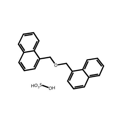 O=S(=O)(O)O.c1ccc2c(COCc3cccc4ccccc34)cccc2c1